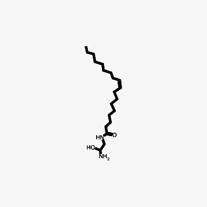 CCCCCCCC/C=C\CCCCCCCC(=O)NCC(N)O